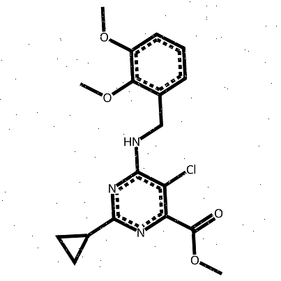 COC(=O)c1nc(C2CC2)nc(NCc2cccc(OC)c2OC)c1Cl